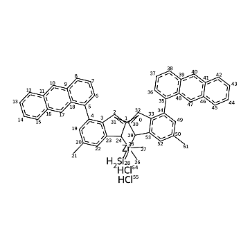 CC1=Cc2c(-c3cccc4cc5ccccc5cc34)cc(C)cc2[CH]1[Zr]([CH3])([CH3])(=[SiH2])[CH]1C(C)=Cc2c(-c3cccc4cc5ccccc5cc34)cc(C)cc21.Cl.Cl